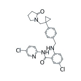 O=C(Nc1ccc(Cl)cn1)c1cc(Cl)ccc1NCc1ccc(C2(CN3CCCC3=O)CC2)cc1